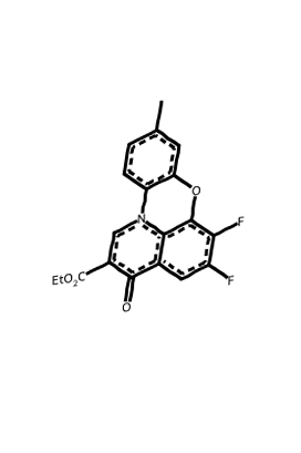 CCOC(=O)c1cn2c3c(c(F)c(F)cc3c1=O)Oc1cc(C)ccc1-2